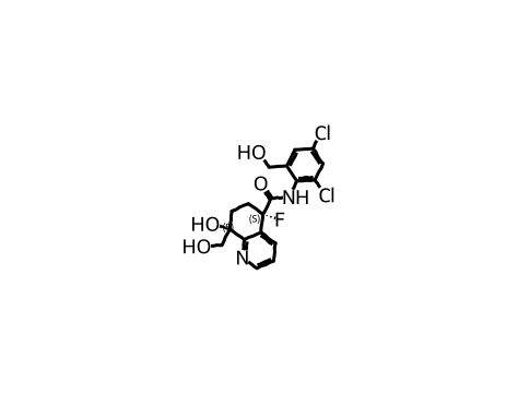 O=C(Nc1c(Cl)cc(Cl)cc1CO)[C@]1(F)CC[C@@](O)(CO)c2ncccc21